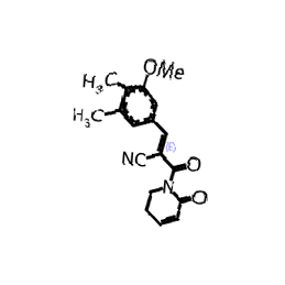 COc1cc(/C=C(\C#N)C(=O)N2CCC=CC2=O)cc(C)c1C